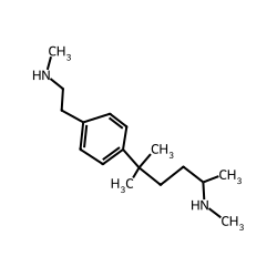 CNCCc1ccc(C(C)(C)CCC(C)NC)cc1